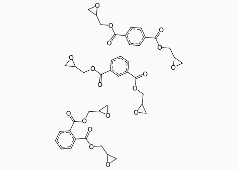 O=C(OCC1CO1)c1ccc(C(=O)OCC2CO2)cc1.O=C(OCC1CO1)c1cccc(C(=O)OCC2CO2)c1.O=C(OCC1CO1)c1ccccc1C(=O)OCC1CO1